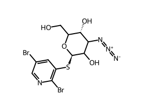 [N-]=[N+]=NC1C(O)[C@@H](Sc2cc(Br)cnc2Br)OC(CO)[C@@H]1O